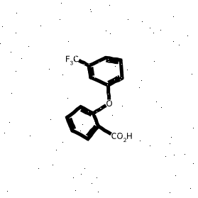 O=C(O)c1ccccc1Oc1cccc(C(F)(F)F)c1